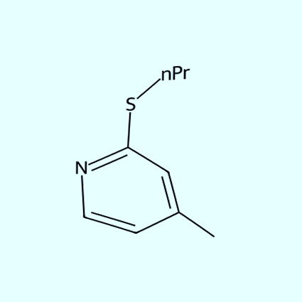 CCCSc1cc(C)ccn1